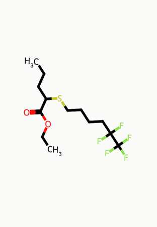 CCCC(SCCCCC(F)(F)C(F)(F)F)C(=O)OCC